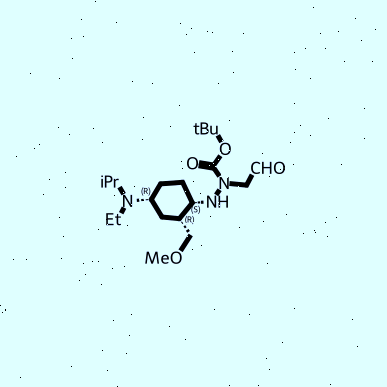 CCN(C(C)C)[C@@H]1CC[C@H](NN(CC=O)C(=O)OC(C)(C)C)[C@H](COC)C1